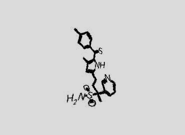 Cc1ccc(C(=S)c2[nH]c(CCC(C)(c3cccnc3)S(N)(=O)=O)cc2C)cc1